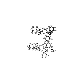 O=S(=O)(C1=CC(c2ccccc2)C(S)(c2ccccc2)C=C1)N1CCOCC1.O=S(=O)(C1=CC(c2ccccc2)C(S)(c2ccccc2)C=C1)N1CCOCC1.[Cu]